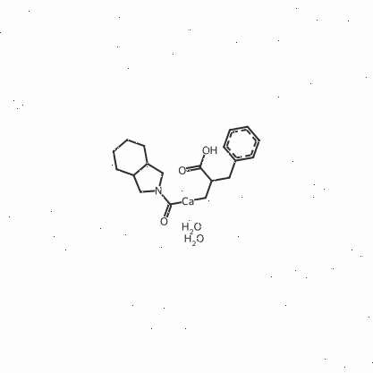 O.O.O=C(O)C([CH2][Ca][C](=O)N1CC2CCCCC2C1)Cc1ccccc1